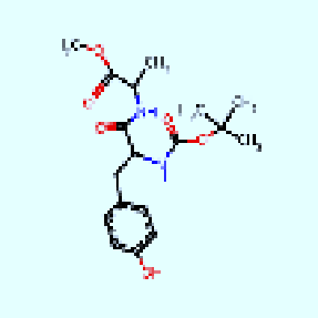 COC(=O)C(C)NC(=O)C(Cc1ccc(O)cc1)NC(=O)OC(C)(C)C